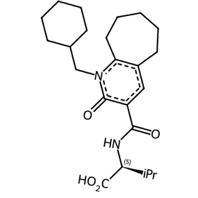 CC(C)[C@H](NC(=O)c1cc2c(n(CC3CCCCC3)c1=O)CCCCC2)C(=O)O